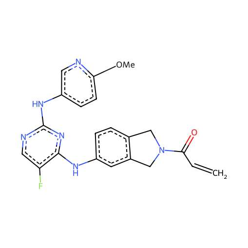 C=CC(=O)N1Cc2ccc(Nc3nc(Nc4ccc(OC)nc4)ncc3F)cc2C1